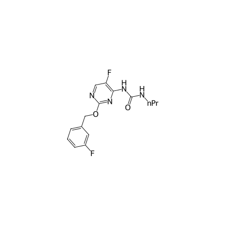 CCCNC(=O)Nc1nc(OCc2cccc(F)c2)ncc1F